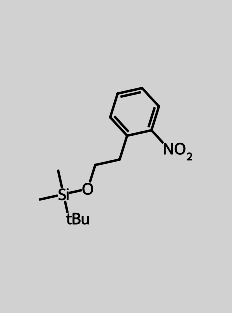 CC(C)(C)[Si](C)(C)OCCc1ccccc1[N+](=O)[O-]